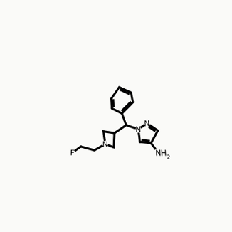 Nc1cnn(C(c2ccccc2)C2CN(CCF)C2)c1